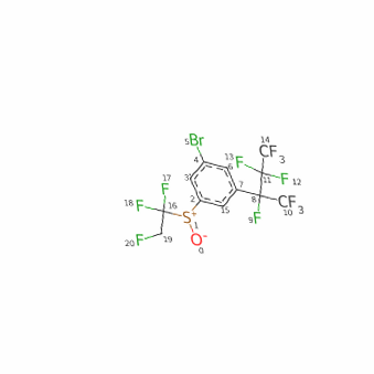 [O-][S+](c1[c]c(Br)cc(C(F)(C(F)(F)F)C(F)(F)C(F)(F)F)c1)C(F)(F)CF